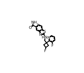 NC(=O)c1ccc2sc(NCC3(c4ncccc4F)CC(F)C3)nc2c1